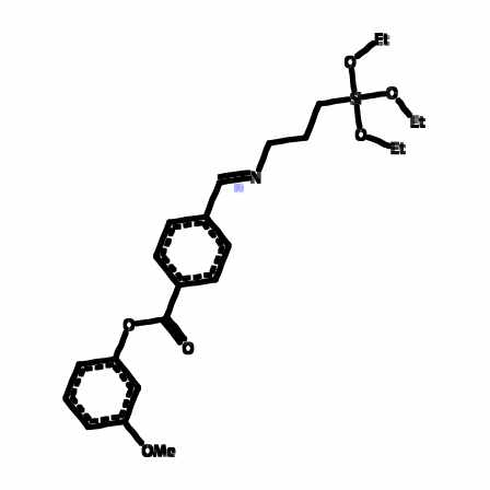 CCO[Si](CCC/N=C/c1ccc(C(=O)Oc2cccc(OC)c2)cc1)(OCC)OCC